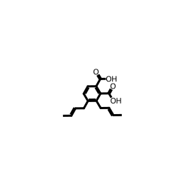 CC=CCc1ccc(C(=O)O)c(C(=O)O)c1CC=CC